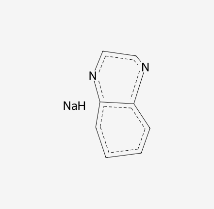 [NaH].c1ccc2nccnc2c1